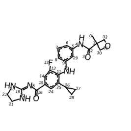 CC1(C(=O)Nc2cccc(Nc3c(F)cc(C(=O)N=C4NCCN4)cc3C3CC3)c2)COC1